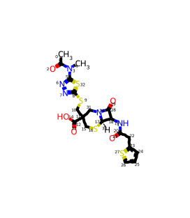 CC(=O)N(C)c1nnc(SCC2(C(=O)O)CS[C@@H]3C(NC(=O)Cc4cccs4)C(=O)N3C2)s1